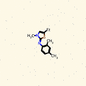 CCc1cn(C)c(=Nc2ccc(C)cc2C)s1